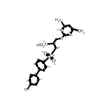 Cc1cc(C)nc(SCC(CS(=O)(=O)c2ccc(-c3ccc(Cl)cc3)cc2)C(=O)O)n1